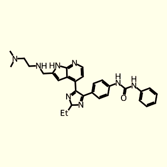 CCC1N=C(c2ccc(NC(=O)Nc3ccccc3)cc2)C(c2ccnc3[nH]c(CNCCN(C)C)cc23)=N1